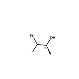 CCC(C)[C@H](C)O